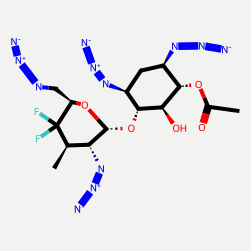 CC(=O)O[C@@H]1[C@@H](O)[C@H](O[C@H]2O[C@H](CN=[N+]=[N-])C(F)(F)[C@H](C)[C@H]2N=[N+]=[N-])[C@@H](N=[N+]=[N-])C[C@H]1N=[N+]=[N-]